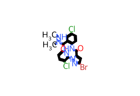 CNN(C)C(=O)c1cc(Cl)ccc1NC(=O)c1cc(Br)nn1-c1ncccc1Cl